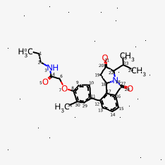 CCCNC(=O)COc1ccc(-c2cccc3c2C2CC(=O)C(C(C)C)N2C3=O)cc1C